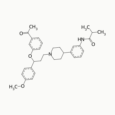 COc1ccc(C(CCN2CCC(c3cccc(NC(=O)C(C)C)c3)CC2)Oc2cccc(C(C)=O)c2)cc1